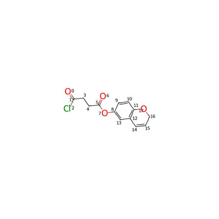 O=C(Cl)CCC(=O)Oc1ccc2c(c1)C=CCO2